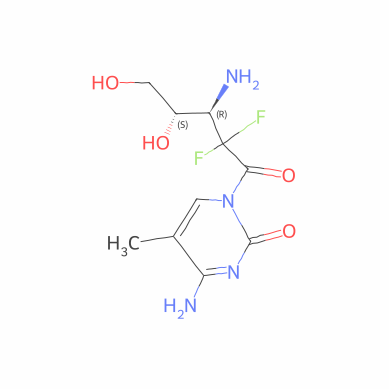 Cc1cn(C(=O)C(F)(F)[C@H](N)[C@H](O)CO)c(=O)nc1N